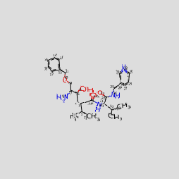 CC(C)[C@H](C[C@H](O)C(N)COCc1ccccc1)C(=O)N[C@H](C(=O)NCc1cccnc1)C(C)C